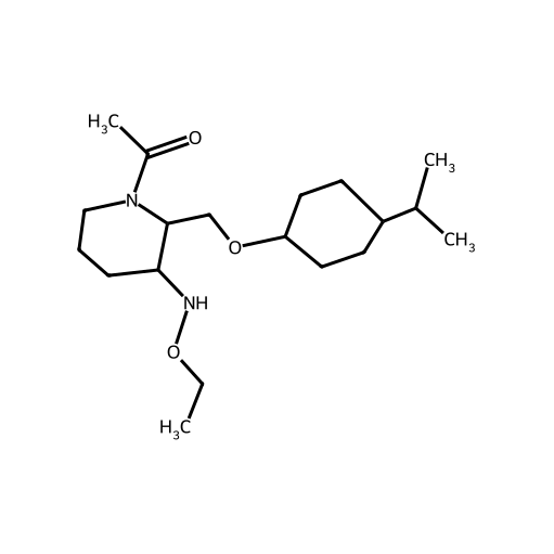 CCONC1CCCN(C(C)=O)C1COC1CCC(C(C)C)CC1